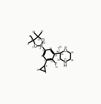 CC1(C)OB(c2cc(C3CC3)c(F)c([C@]3(C)CNCCO3)c2)OC1(C)C